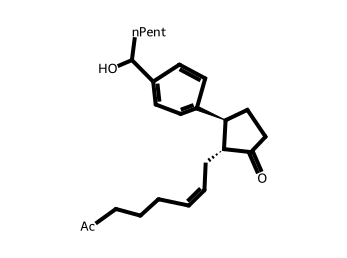 CCCCCC(O)c1ccc([C@H]2CCC(=O)[C@@H]2C/C=C\CCCC(C)=O)cc1